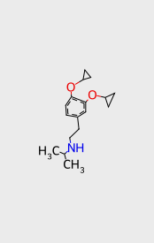 CC(C)NCCc1ccc(OC2CC2)c(OC2CC2)c1